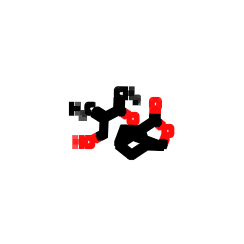 C=C(CO)C(=C)OC1C2CC3C(=O)OC1C3C2